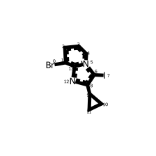 Brc1cccn2c(I)c(C3CC3)nc12